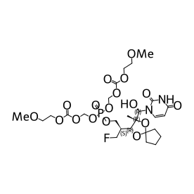 COCCOC(=O)OCOP(=O)(OCOC(=O)OCCOC)OC[C@H](CF)[C@H]1OC2(CCCC2)O[C@@]1(C)[C@@H](O)n1ccc(=O)[nH]c1=O